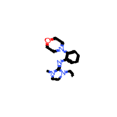 CCN1CCN(C)/C1=N/c1ccccc1N1CCOCC1